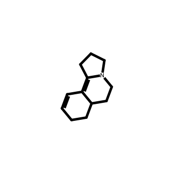 C1=CC2=C3CCCN3CCC2CC1